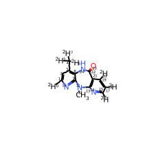 [2H]c1cc(C([2H])([2H])[2H])c2c(n1)N(C)c1nc([2H])c([2H])c([2H])c1C(=O)N2